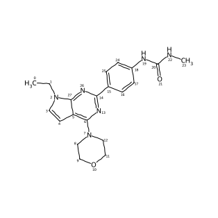 CCn1ccc2c(N3CCOCC3)nc(-c3ccc(NC(=O)NC)cc3)nc21